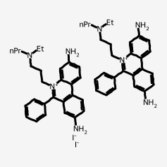 CCCN(CC)CCC[n+]1c(-c2ccccc2)c2cc(N)ccc2c2ccc(N)cc21.CCCN(CC)CCC[n+]1c(-c2ccccc2)c2cc(N)ccc2c2ccc(N)cc21.[I-].[I-]